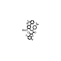 COc1ccc(-c2ccccc2[S+](C)[O-])cc1CN(C(=O)c1sc2c(F)ccc(F)c2c1Cl)[C@H]1CC[C@H](N(C)C)CC1